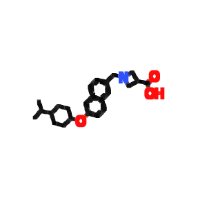 CC(C)C1CCC(Oc2ccc3cc(CN4CC(C(=O)O)C4)ccc3c2)CC1